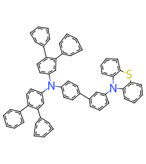 c1ccc(-c2ccc(N(c3ccc(-c4cccc(N5c6ccccc6Sc6ccccc65)c4)cc3)c3ccc(-c4ccccc4)c(-c4ccccc4)c3)cc2-c2ccccc2)cc1